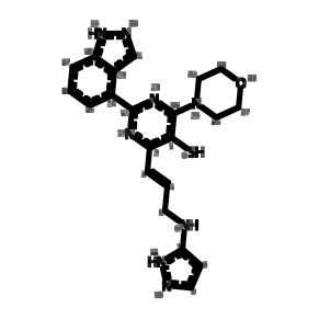 Sc1c(/C=C/CNc2ccn[nH]2)nc(-c2cccc3[nH]ncc23)nc1N1CCOCC1